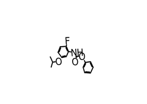 CC(C)Oc1ccc(F)c(NC(=O)Oc2ccccc2)c1